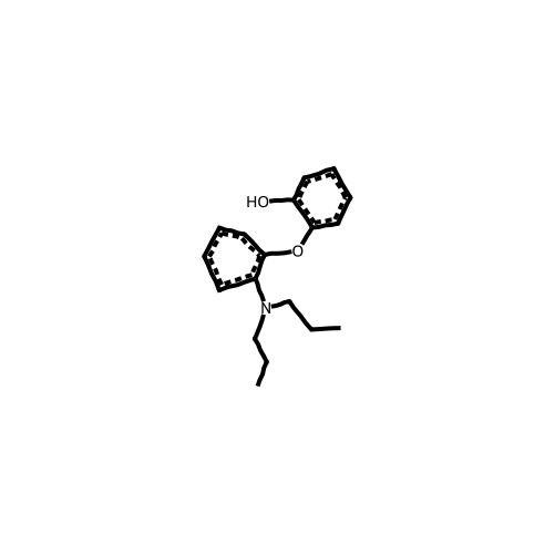 CCCN(CCC)c1ccccc1Oc1ccccc1O